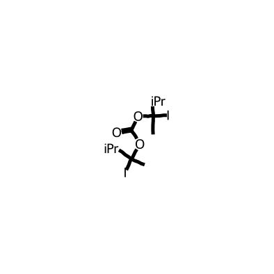 CC(C)C(C)(I)OC(=O)OC(C)(I)C(C)C